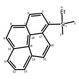 CC[Si](C)(C)c1ccc2ccc3cccc4ccc1c2c34